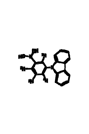 [2H]c1c([2H])c(B(O)O)c([2H])c(-n2c3ccccc3c3ccccc32)c1[2H]